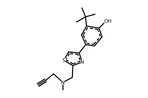 C#CCN(C)Cc1nc(-c2ccc(O)c(C(C)(C)C)c2)cs1